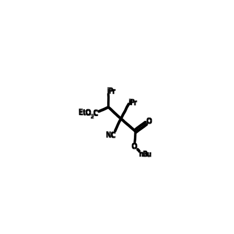 CCCCOC(=O)C(C#N)(C(C)C)C(C(=O)OCC)C(C)C